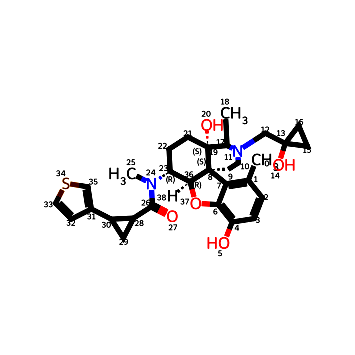 Cc1ccc(O)c2c1[C@]13CCN(CC4(O)CC4)C(C)[C@]1(O)CC[C@@H](N(C)C(=O)C1CC1c1ccsc1)[C@@H]3O2